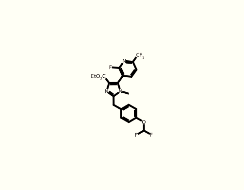 CCOC(=O)c1nc(Cc2ccc(OC(F)F)cc2)n(C)c1-c1ccc(C(F)(F)F)nc1F